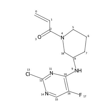 C=CC(=O)N1CCCC(Nc2nc(Cl)ncc2F)C1